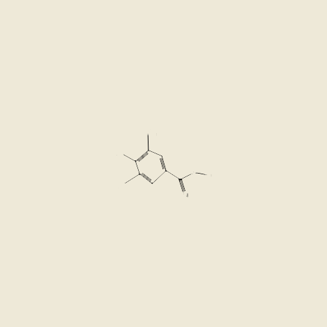 Cc1cc(C(=N)NO)cc(C)c1C